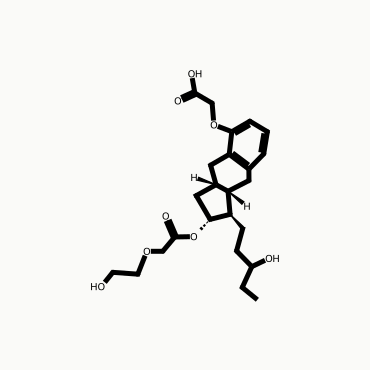 CCC(O)CC[C@@H]1[C@H]2Cc3cccc(OCC(=O)O)c3C[C@H]2C[C@H]1OC(=O)COCCO